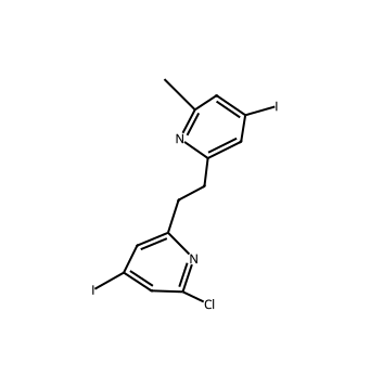 Cc1cc(I)cc(CCc2cc(I)cc(Cl)n2)n1